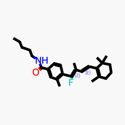 CCCCCNC(=O)c1ccc(/C(F)=C(C)/C=C/C2=C(C)CCCC2(C)C)c(C)c1